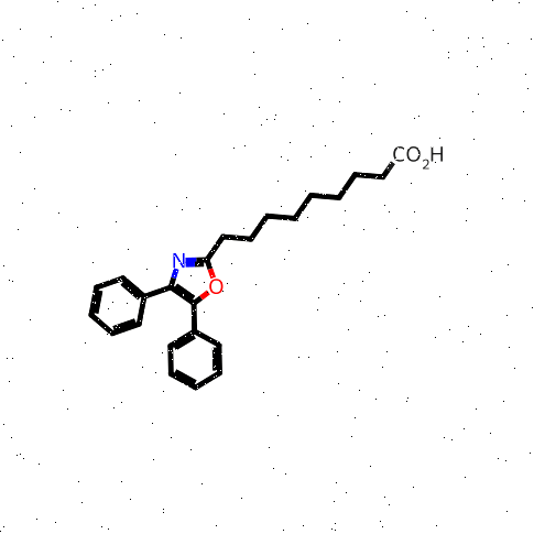 O=C(O)CCCCCCCCc1nc(-c2ccccc2)c(-c2ccccc2)o1